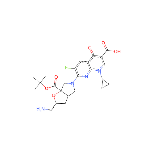 CC(C)(C)OC(=O)C12CN(c3nc4c(cc3F)c(=O)c(C(=O)O)cn4C3CC3)CC1CC(CN)O2